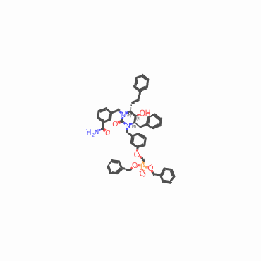 NC(=O)c1cccc(CN2C(=O)N(Cc3cccc(OCP(=O)(OCc4ccccc4)OCc4ccccc4)c3)[C@H](Cc3ccccc3)[C@H](O)[C@H]2CCc2ccccc2)c1